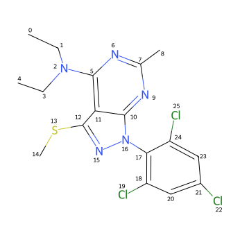 CCN(CC)c1nc(C)nc2c1c(SC)nn2-c1c(Cl)cc(Cl)cc1Cl